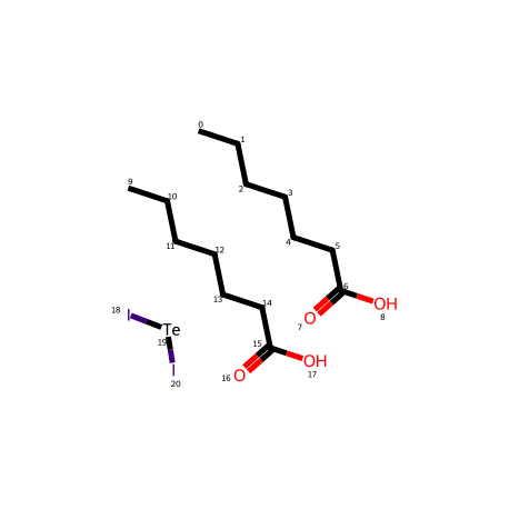 CCCCCCC(=O)O.CCCCCCC(=O)O.I[Te]I